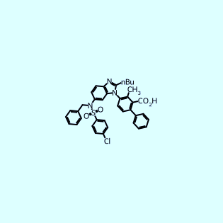 CCCCc1nc2ccc(N(Cc3ccccc3)S(=O)(=O)c3ccc(Cl)cc3)cc2n1-c1ccc(-c2ccccc2)c(C(=O)O)c1C